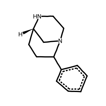 c1ccc(C2CC[C@H]3CN2CCN3)cc1